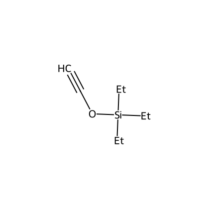 C#CO[Si](CC)(CC)CC